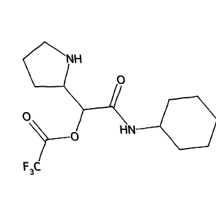 O=C(NC1CCCCC1)C(OC(=O)C(F)(F)F)C1CCCN1